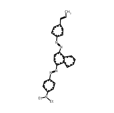 CC=Cc1ccc(N=Nc2ccc(N=Nc3ccc(N(CC)CC)cc3)c3ccccc23)cc1